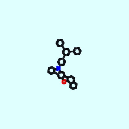 c1ccc(-c2cc(-c3ccccc3)cc(-c3ccc(-n4c5ccccc5c5cc6oc7c8ccccc8ccc7c6cc54)cc3)c2)cc1